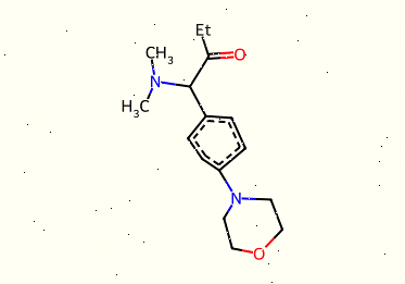 CCC(=O)C(c1ccc(N2CCOCC2)cc1)N(C)C